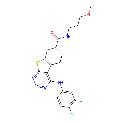 COCCCNC(=O)C1CCc2c(sc3ncnc(Nc4ccc(F)c(Cl)c4)c23)C1